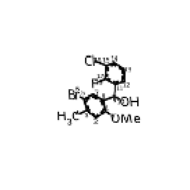 COc1cc(C)c(Br)cc1C(O)c1cccc(Cl)c1F